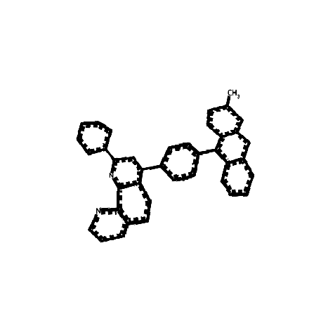 Cc1ccc2c(-c3ccc(-c4cc(-c5ccccc5)nc5c4ccc4cccnc45)cc3)c3ccccc3cc2c1